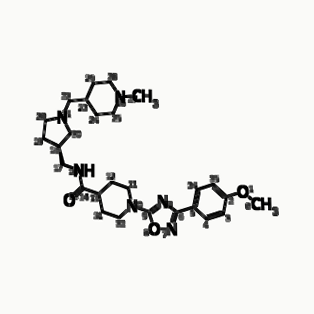 COc1ccc(-c2noc(N3CCC(C(=O)NC[C@H]4CCN(CC5CCN(C)CC5)C4)CC3)n2)cc1